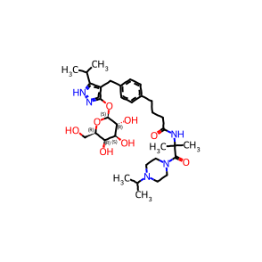 CC(C)c1[nH]nc(O[C@@H]2O[C@H](CO)[C@H](O)[C@H](O)[C@H]2O)c1Cc1ccc(CCCC(=O)NC(C)(C)C(=O)N2CCN(C(C)C)CC2)cc1